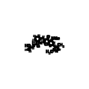 CNc1cc(-c2c(C)cnn2C)ccc1C(=O)N(Cc1cccc(C(=O)NCC2(O)CC2)c1)[C@H](C)C(C)=O